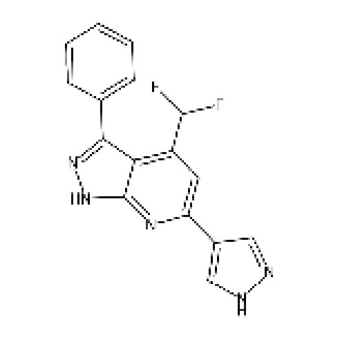 FC(F)c1cc(-c2cn[nH]c2)nc2[nH]nc(-c3ccccc3)c12